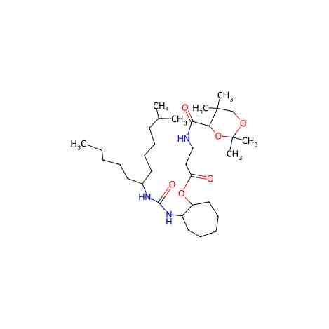 CCCCCC(CCCCC(C)C)NC(=O)NC1CCCCCC1OC(=O)CCNC(=O)C1OC(C)(C)OCC1(C)C